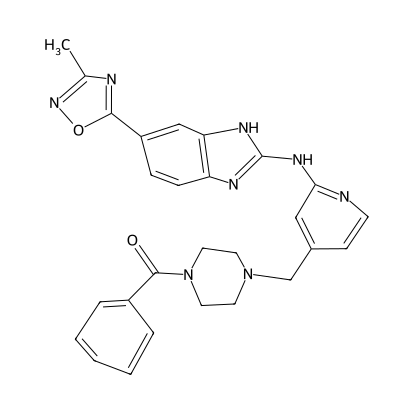 Cc1noc(-c2ccc3nc(Nc4cc(CN5CCN(C(=O)c6ccccc6)CC5)ccn4)[nH]c3c2)n1